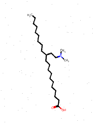 CCCCCCCCCC(CCCCCCCCCCC(=O)O)CCN(C)C